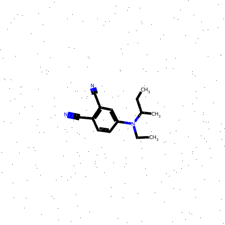 CCC(C)N(CC)c1ccc(C#N)c(C#N)c1